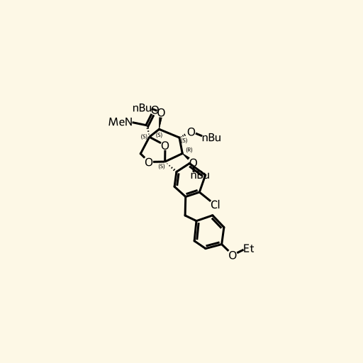 CCCCO[C@@H]1[C@@H](OCCCC)[C@@]2(c3ccc(Cl)c(Cc4ccc(OCC)cc4)c3)OC[C@](C(=O)NC)(O2)[C@H]1OCCCC